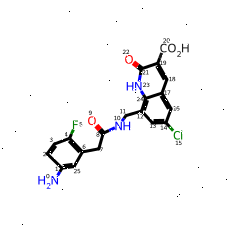 Nc1ccc(F)c(CC(=O)NCc2cc(Cl)cc3cc(C(=O)O)c(=O)[nH]c23)c1